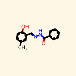 Cc1ccc(O)c(C=NNC(=O)c2ccccc2)c1